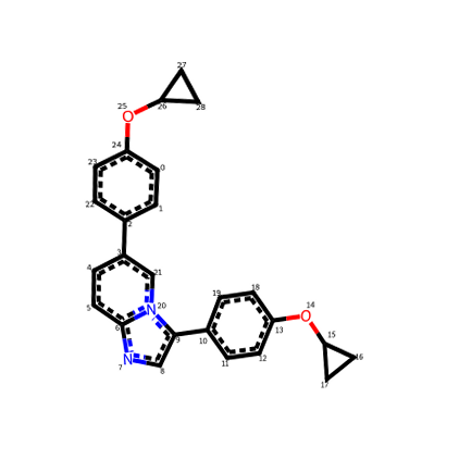 c1cc(-c2ccc3ncc(-c4ccc(OC5CC5)cc4)n3c2)ccc1OC1CC1